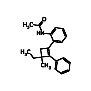 CCC1(C)CC(c2ccccc2NC(C)=O)=C1c1ccccc1